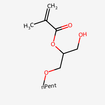 C=C(C)C(=O)OC(CO)COCCCCC